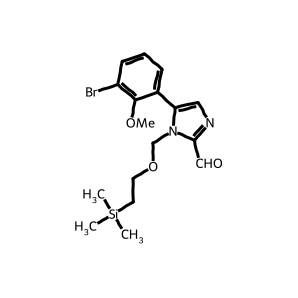 COc1c(Br)cccc1-c1cnc(C=O)n1COCC[Si](C)(C)C